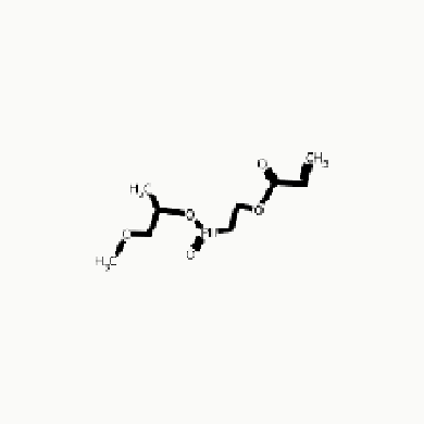 C=CC(=O)OCC[PH](=O)OC(C)COC